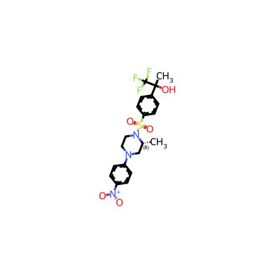 C[C@@H]1CN(c2ccc([N+](=O)[O-])cc2)CCN1S(=O)(=O)c1ccc(C(C)(O)C(F)(F)F)cc1